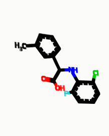 Cc1cccc(C(Nc2c(F)cccc2Cl)C(=O)O)c1